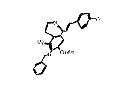 CCCc1c2c(cc(OC)c1OCc1ccccc1)C(/C=C/c1ccc(Cl)cc1)=NCC2